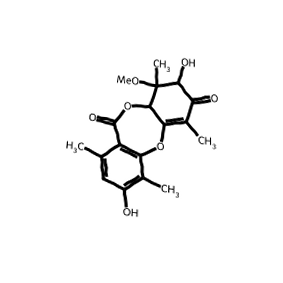 COC1(C)C(O)C(=O)C(C)=C2Oc3c(C)c(O)cc(C)c3C(=O)OC21